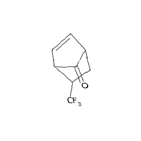 O=C1C2C=CC1C(C(F)(F)F)C2